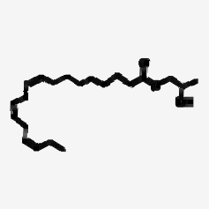 CC/C=C\C/C=C\C/C=C\CCCCCCCC(=O)OC[C](C)O